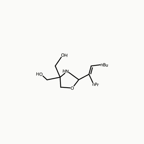 CCCCC=C(CCC)C1NC(CO)(CO)CO1